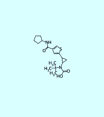 CC(C)(C)N(C(=O)O)C1CC1c1cc(C(=O)NC2CCCC2)cs1